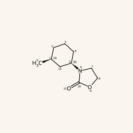 C[C@H]1CCC[C@@H](N2CCOC2=O)C1